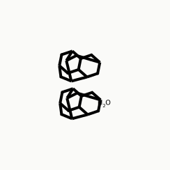 C1C2CC3C4CC5CC(C14)C(C2)C3C5.C1C2CC3C4CC5CC(C14)C(C2)C3C5.O